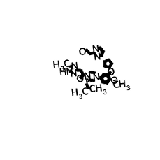 COc1ccc(N2CCN(C(=O)Cc3n[nH]c(C)n3)[C@@H](CC(C)C)C2)cc1OC1CCCC1.O=CCc1ncccn1